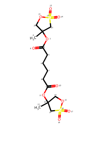 CC1(OC(=O)CCCCC(=O)OC2(C)COS(=O)(=O)C2)COS(=O)(=O)C1